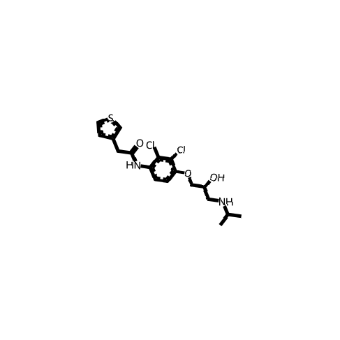 CC(C)NCC(O)COc1ccc(NC(=O)Cc2ccsc2)c(Cl)c1Cl